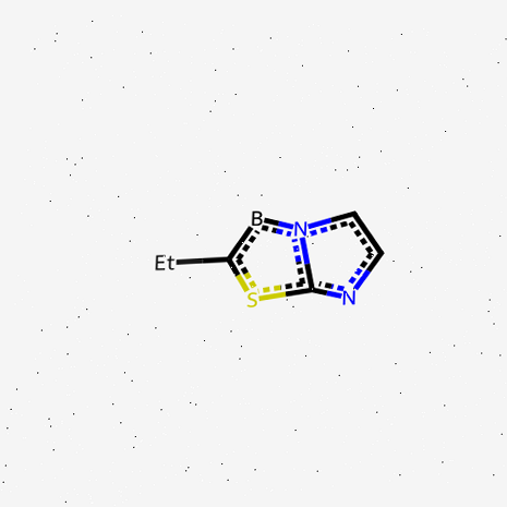 CCc1bn2ccnc2s1